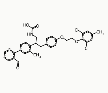 Cc1cc(Cl)c(OCCOc2ccc(CC(CNC(=O)O)c3ccc(-c4ncccc4C=O)cc3C)cc2)c(Cl)c1